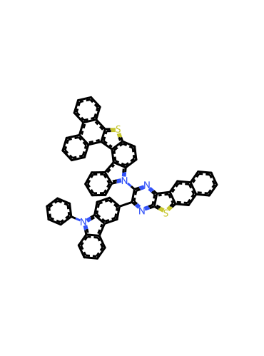 c1ccc(-n2c3ccccc3c3cc(-c4nc5sc6cc7ccccc7cc6c5nc4-n4c5ccccc5c5c6c(ccc54)sc4c5ccccc5c5ccccc5c46)ccc32)cc1